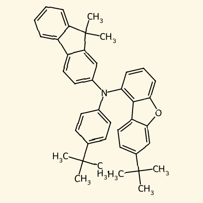 CC(C)(C)c1ccc(N(c2ccc3c(c2)C(C)(C)c2ccccc2-3)c2cccc3oc4cc(C(C)(C)C)ccc4c23)cc1